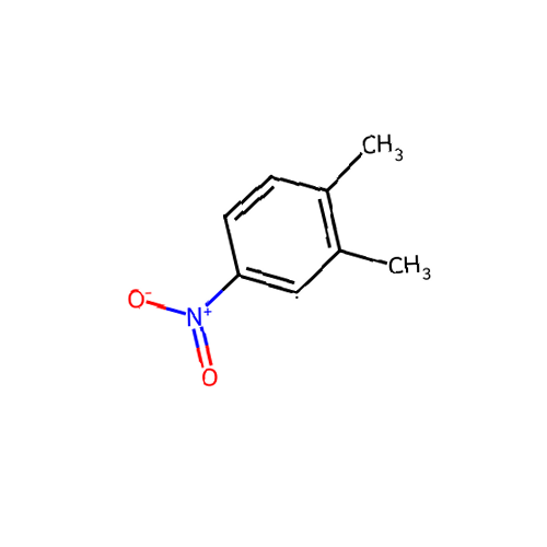 Cc1[c]c([N+](=O)[O-])ccc1C